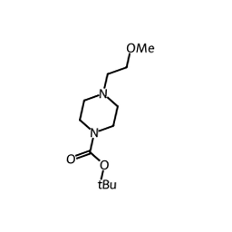 COCCN1CCN(C(=O)OC(C)(C)C)CC1